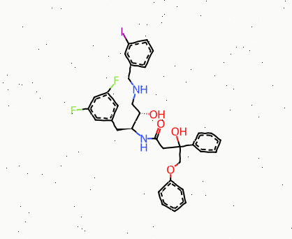 O=C(CC(O)(COc1ccccc1)c1ccccc1)N[C@@H](Cc1cc(F)cc(F)c1)[C@@H](O)CNCc1cccc(I)c1